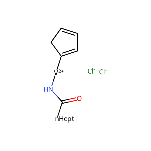 CCCCCCCC(=O)[NH][V+2][C]1=CC=CC1.[Cl-].[Cl-]